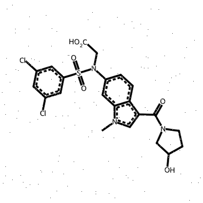 Cn1cc(C(=O)N2CCC(O)C2)c2ccc(N(CC(=O)O)S(=O)(=O)c3cc(Cl)cc(Cl)c3)cc21